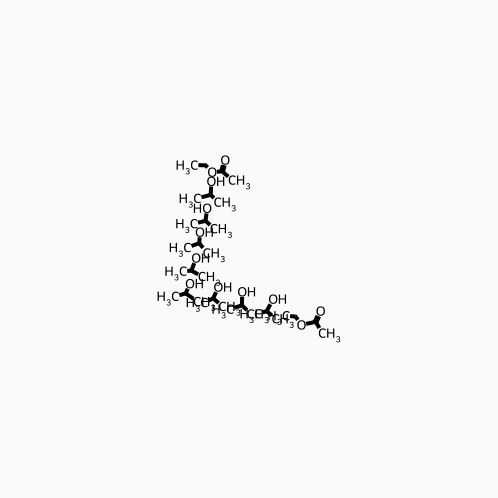 CC(C)O.CC(C)O.CC(C)O.CC(C)O.CC(C)O.CC(C)O.CC(C)O.CC(C)O.CCOC(C)=O.CCOC(C)=O